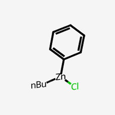 CCC[CH2][Zn]([Cl])[c]1ccccc1